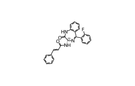 O=C(C=Cc1ccccc1)N[C@H]1N=C(c2ccccc2F)c2ccccc2NC1=O